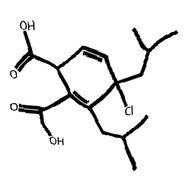 CC(C)CC1=C(C(=O)O)C(C(=O)O)C=CC1(Cl)CC(C)C